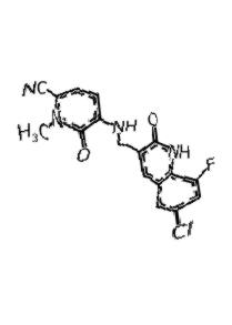 Cn1c(C#N)ccc(NCc2cc3cc(Cl)cc(F)c3[nH]c2=O)c1=O